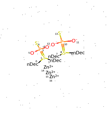 CCCCCCCCCCS(CCCCCCCCCC)=P([O-])([O-])[S-].CCCCCCCCCCS(CCCCCCCCCC)=P([O-])([O-])[S-].[Zn+2].[Zn+2].[Zn+2]